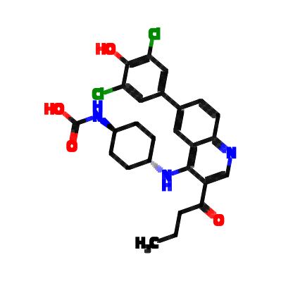 CCCC(=O)c1cnc2ccc(-c3cc(Cl)c(O)c(Cl)c3)cc2c1N[C@H]1CC[C@H](NC(=O)O)CC1